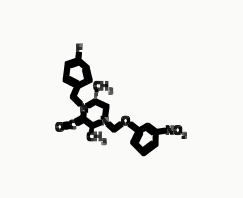 C[C@@H]1CN(COc2cccc([N+](=O)[O-])c2)[C@@H](C)C(=C=O)N1Cc1ccc(F)cc1